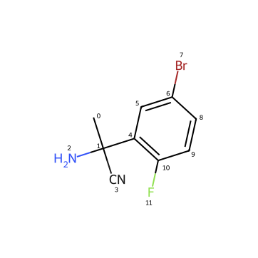 CC(N)(C#N)c1cc(Br)ccc1F